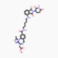 COC(=O)C[C@@H]1N=Cc2ccc(C(=O)NCCCCCNc3cccc4c3C(=O)N(C3CCC(=O)NC3=O)C4=O)cc2-n2c(C)nnc21